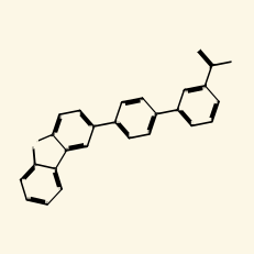 C=C(C)c1cccc(-c2ccc(-c3ccc4oc5ccccc5c4c3)cc2)c1